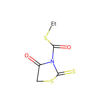 CCSC(=O)N1C(=O)CSC1=S